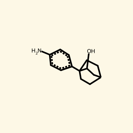 Nc1ccc(C23CCC(CC2)CC3O)cc1